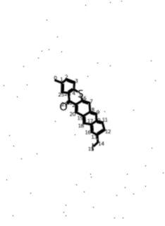 Cc1ccc2sc3cc4cc5ccc(CI)cc5cc4cc3c(=O)c2c1